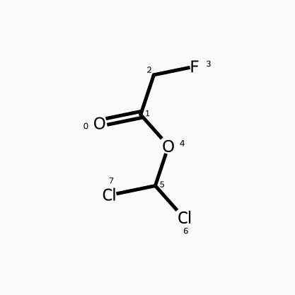 O=C(CF)OC(Cl)Cl